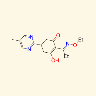 CCON=C(CC)C1=C(O)CC(c2ncc(C)cn2)CC1=O